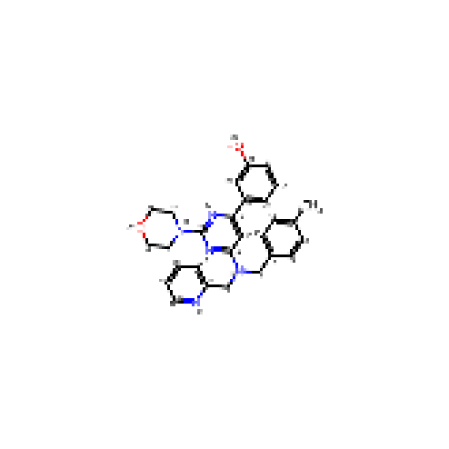 Cc1ccc(CN(Cc2ccccn2)c2cc(-c3cccc(O)c3)nc(N3CCOCC3)n2)cc1